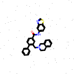 O=C(Nc1ccc2scnc2c1)c1ccc(-c2ccccc2)c(CN2CCc3ccccc3C2)c1